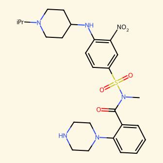 CC(C)N1CCC(Nc2ccc(S(=O)(=O)N(C)C(=O)c3ccccc3N3CCNCC3)cc2[N+](=O)[O-])CC1